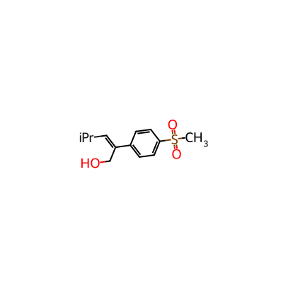 CC(C)C=C(CO)c1ccc(S(C)(=O)=O)cc1